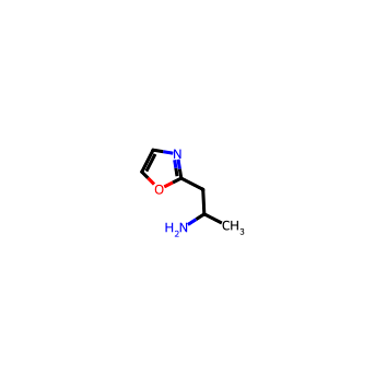 CC(N)Cc1ncco1